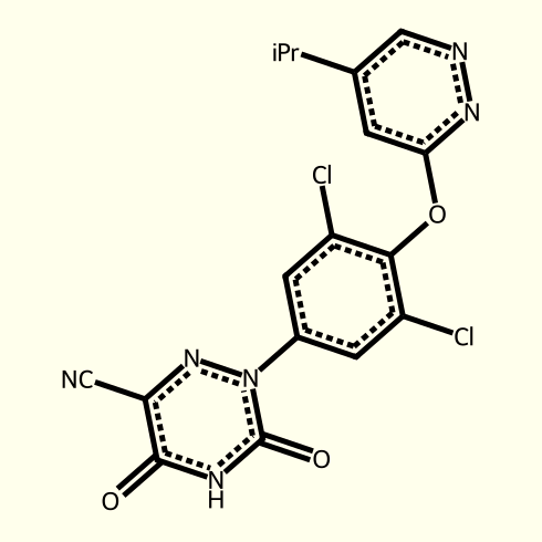 CC(C)c1cnnc(Oc2c(Cl)cc(-n3nc(C#N)c(=O)[nH]c3=O)cc2Cl)c1